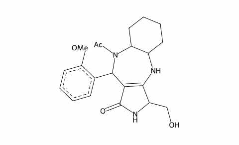 COc1ccccc1C1C2=C(NC3CCCCC3N1C(C)=O)C(CO)NC2=O